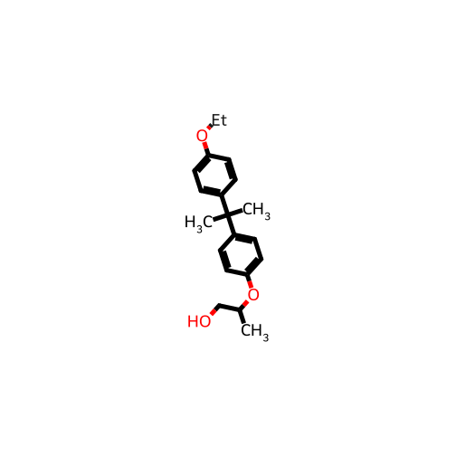 CCOc1ccc(C(C)(C)c2ccc(OC(C)CO)cc2)cc1